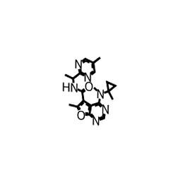 Cc1cnc(C(C)NC(=O)c2c(C)oc3ncnc(N(C)C4(C)CC4)c23)nc1